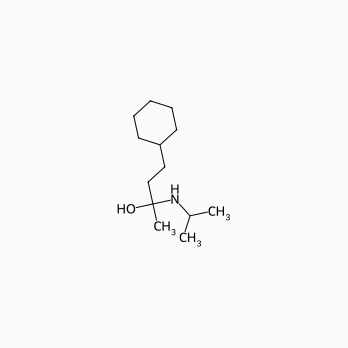 CC(C)NC(C)(O)CCC1CCCCC1